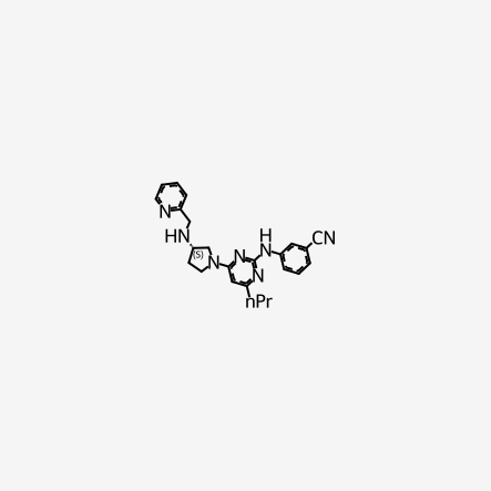 CCCc1cc(N2CC[C@H](NCc3ccccn3)C2)nc(Nc2cccc(C#N)c2)n1